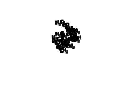 C=C(C(=O)O)C(C=C(C)C(=O)O)CC.C=C(CN(C)C)C(=O)OCC(CC)CCCC.C=CC(=O)OCC.C=CC(=O)OCCCC